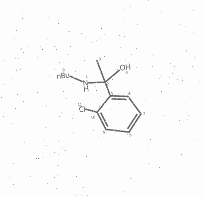 CCCCNC(C)(O)c1ccccc1Cl